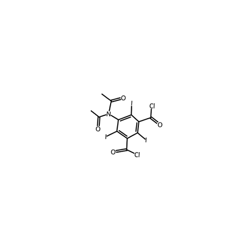 CC(=O)N(C(C)=O)c1c(I)c(C(=O)Cl)c(I)c(C(=O)Cl)c1I